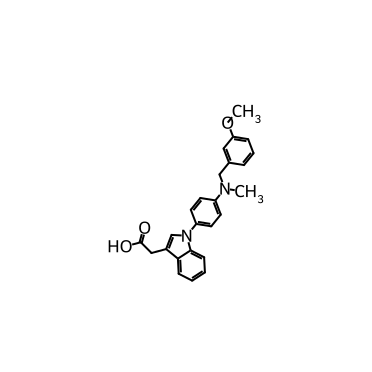 COc1cccc(CN(C)c2ccc(-n3cc(CC(=O)O)c4ccccc43)cc2)c1